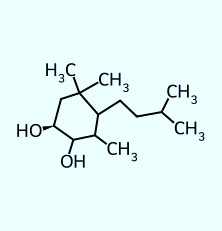 CC(C)CCC1C(C)C(O)[C@@H](O)CC1(C)C